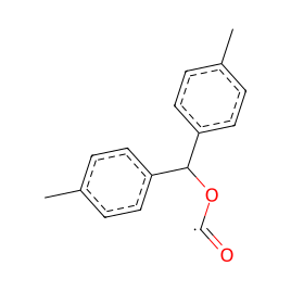 Cc1ccc(C(O[C]=O)c2ccc(C)cc2)cc1